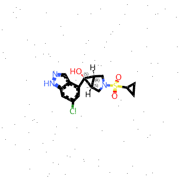 O=S(=O)(C1CC1)N1C[C@@H]2[C@H](C1)[C@]2(O)c1cc(Cl)cc2[nH]ncc12